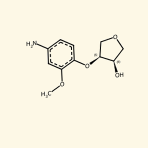 COc1cc(N)ccc1O[C@H]1COC[C@H]1O